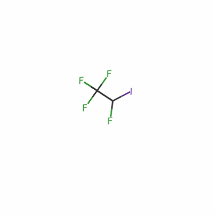 FC(I)C(F)(F)F